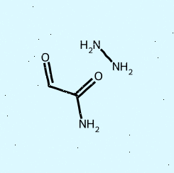 NC(=O)C=O.NN